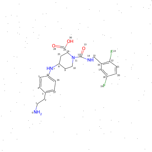 NCCc1ccc(NC2CCN(C(=O)NCc3cc(F)ccc3F)CC2)cc1.O=CO